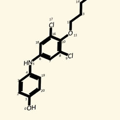 Oc1ccc(Nc2cc(Cl)c(OCCCCl)c(Cl)c2)cc1